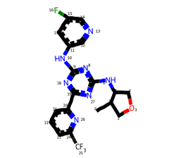 CC1COCC1Nc1nc(Nc2cncc(F)c2)nc(-c2cccc(C(F)(F)F)n2)n1